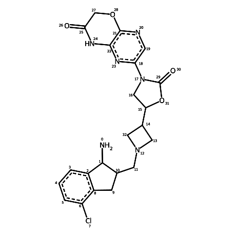 NC1c2cccc(Cl)c2CC1CN1CC(C2CN(c3cnc4c(n3)NC(=O)CO4)C(=O)O2)C1